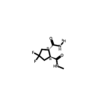 [2H]NC(=O)[C@H]1CC(F)(F)C[C@@H]1C(=O)NC